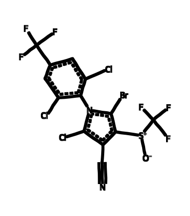 N#Cc1c([S+]([O-])C(F)(F)F)c(Br)n(-c2c(Cl)cc(C(F)(F)F)cc2Cl)c1Cl